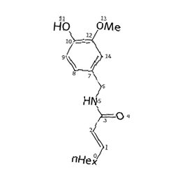 CCCCCC/C=C/C(=O)NCc1ccc(O)c(OC)c1